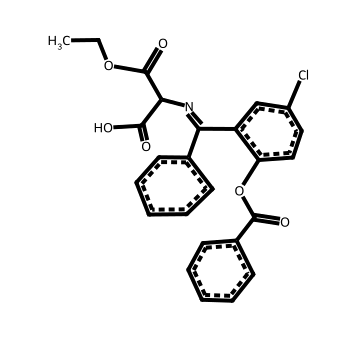 CCOC(=O)C(N=C(c1ccccc1)c1cc(Cl)ccc1OC(=O)c1ccccc1)C(=O)O